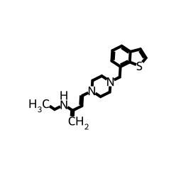 C=C(/C=C/N1CCN(Cc2cccc3ccsc23)CC1)NCC